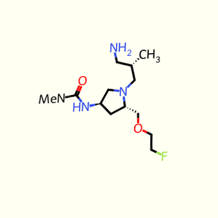 CNC(=O)N[C@@H]1C[C@@H](COCCF)N(C[C@@H](C)CN)C1